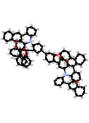 c1ccc(N(c2ccc3oc4cc(-c5ccc(N(c6ccccc6-c6ccc7ccccc7c6)c6cccc7c6oc6ccccc67)c(-c6cc7ccccc7c7ccccc67)c5)ccc4c3c2)c2ccccc2-c2cc3ccccc3c3ccccc23)c(-c2ccc3ccccc3c2)c1